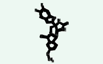 COc1ccc2c(c1)C(=O)N(C[C@@]1(c3cc4cc(F)c(F)cc4o3)NC(=O)NC1=O)C2